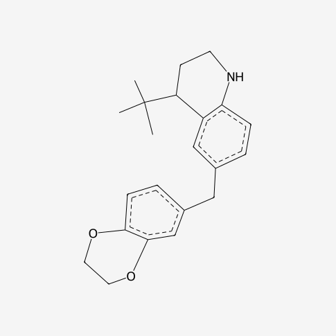 CC(C)(C)C1CCNc2ccc(Cc3ccc4c(c3)OCCO4)cc21